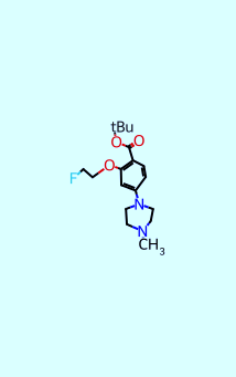 CN1CCN(c2ccc(C(=O)OC(C)(C)C)c(OCCF)c2)CC1